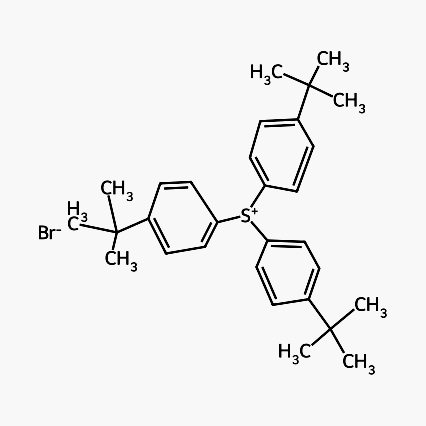 CC(C)(C)c1ccc([S+](c2ccc(C(C)(C)C)cc2)c2ccc(C(C)(C)C)cc2)cc1.[Br-]